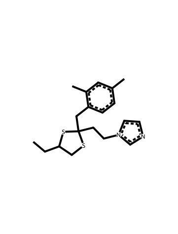 CCC1CSC(CCn2ccnc2)(Cc2ccc(C)cc2C)S1